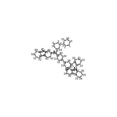 c1ccc(-c2cccc(N(c3ccc(-c4cccc(-c5ccccc5-n5c6ccccc6c6ccccc65)c4)cc3)c3ccc4c(c3)sc3ccccc34)c2)cc1